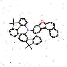 CC1(C)c2ccccc2-c2c(N(c3ccc4c(c3)oc3ccc5ccccc5c34)c3cccc4c3-c3ccccc3C4(C)C)cccc21